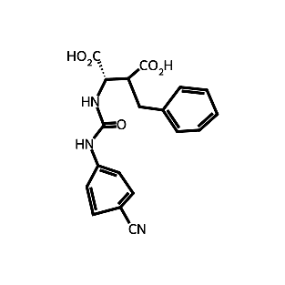 N#Cc1ccc(NC(=O)N[C@H](C(=O)O)C(Cc2ccccc2)C(=O)O)cc1